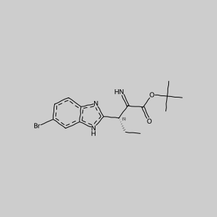 CC[C@@H](C(=N)C(=O)OC(C)(C)C)c1nc2ccc(Br)cc2[nH]1